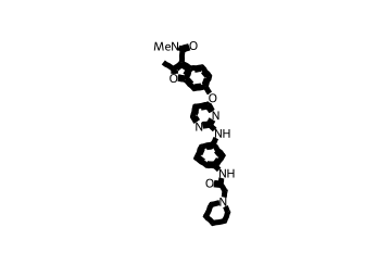 CNC(=O)c1c(C)oc2cc(Oc3ccnc(Nc4cccc(NC(=O)CN5CCCCC5)c4)n3)ccc12